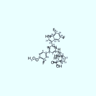 COc1ccc(-c2cc(N[C@@H]3C4CCC(CC4)[C@H]3C(=O)O)nc(-c3c[nH]c4c(F)cc(F)cc34)n2)cc1F